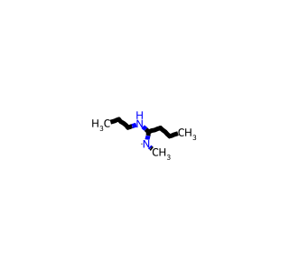 CCCNC(CCC)[N]C